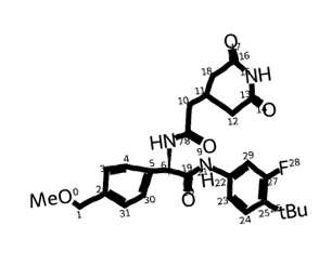 COCc1ccc([C@@H](NC(=O)CC2CC(=O)NC(=O)C2)C(=O)Nc2ccc(C(C)(C)C)c(F)c2)cc1